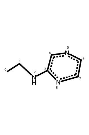 CCNc1cnccn1